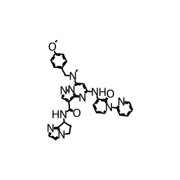 COc1ccc(CN(C)c2cc(Nc3cccn(-c4ccccn4)c3=O)nc3c(C(=O)NC4CCn5ccnc54)cnn23)cc1